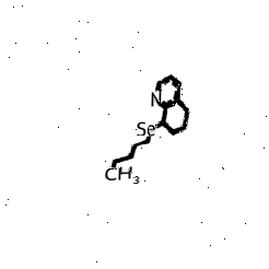 CCCCC[Se]C1CCCc2cccnc21